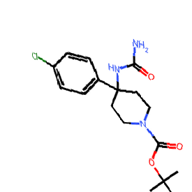 CC(C)(C)OC(=O)N1CCC(NC(N)=O)(c2ccc(Cl)cc2)CC1